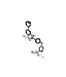 CN(C)C1CCN(Cc2ccc(C(=O)Nc3cc(-c4ccccc4)ccc3N)cc2)C1